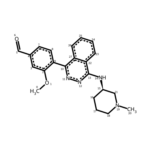 COc1cc(C=O)ccc1-c1nnc(N[C@@H]2CCCN(C)C2)c2ccccc12